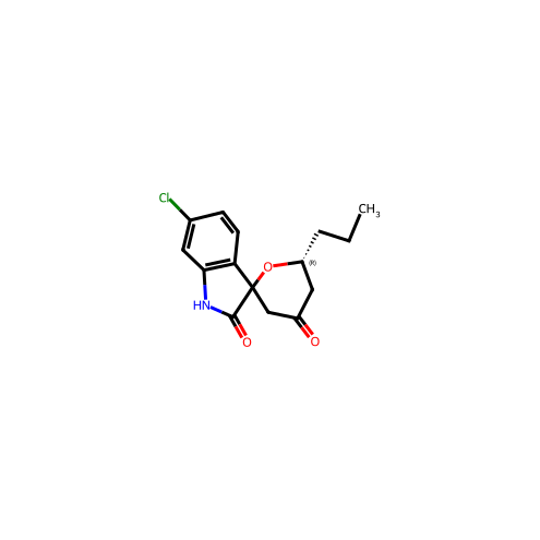 CCC[C@@H]1CC(=O)CC2(O1)C(=O)Nc1cc(Cl)ccc12